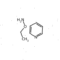 CCON.c1ccncc1